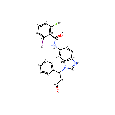 O=CCC(c1ccccc1)n1cnc2ccc(NC(=O)c3c(F)cccc3I)cc21